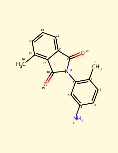 Cc1ccc(N)cc1N1C(=O)c2cccc(C)c2C1=O